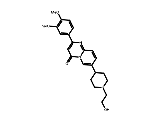 COc1ccc(-c2cc(=O)n3cc(C4CCN(CCO)CC4)ccc3n2)cc1OC